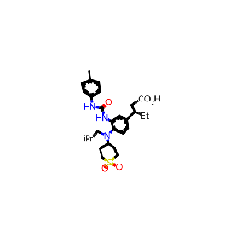 CCC(CC(=O)O)c1ccc(N(CC(C)C)C2CCS(=O)(=O)CC2)c(NC(=O)Nc2ccc(C)cc2)c1